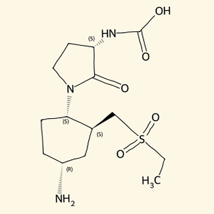 CCS(=O)(=O)C[C@H]1C[C@H](N)CC[C@@H]1N1CC[C@H](NC(=O)O)C1=O